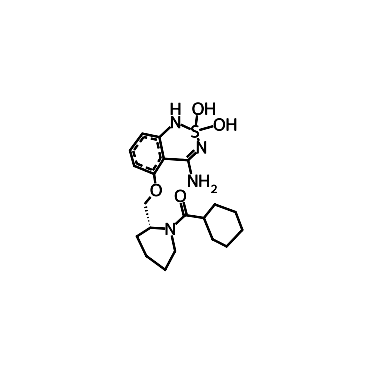 NC1=NS(O)(O)Nc2cccc(OC[C@H]3CCCCN3C(=O)C3CCCCC3)c21